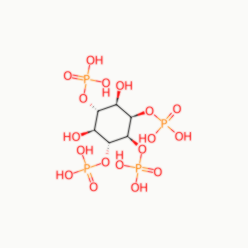 O=P(O)(O)O[C@@H]1[C@@H](O)[C@@H](OP(=O)(O)O)[C@@H](OP(=O)(O)O)[C@H](OP(=O)(O)O)[C@H]1O